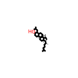 CC(C)=CCC[C@@H](C)[C@H]1CC[C@H]2C3=C(CC[C@]12C)[C@@]1(C)CC[C@H](O)C(CC(C)C)C1CC3